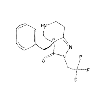 O=C1N(CC(F)(F)F)N=C2CCNC[C@@]12Cc1ccccc1